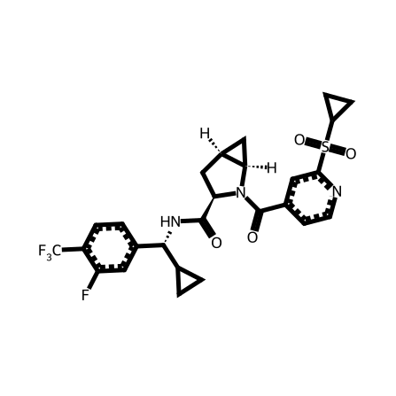 O=C(N[C@@H](c1ccc(C(F)(F)F)c(F)c1)C1CC1)[C@H]1C[C@H]2C[C@H]2N1C(=O)c1ccnc(S(=O)(=O)C2CC2)c1